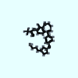 Cc1c(OC(=O)C(C)(C)C)ccc2c1OCCC=C2c1ccc(OC2CCN(CCCF)C2)cc1